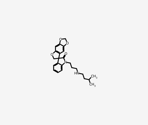 CC(C)CCNCCCN1C(=O)C2(COc3cc4c(cc32)OCO4)c2ccccc21